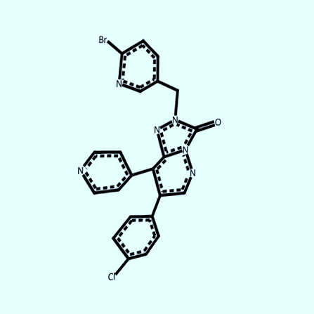 O=c1n(Cc2ccc(Br)nc2)nc2c(-c3ccncc3)c(-c3ccc(Cl)cc3)cnn12